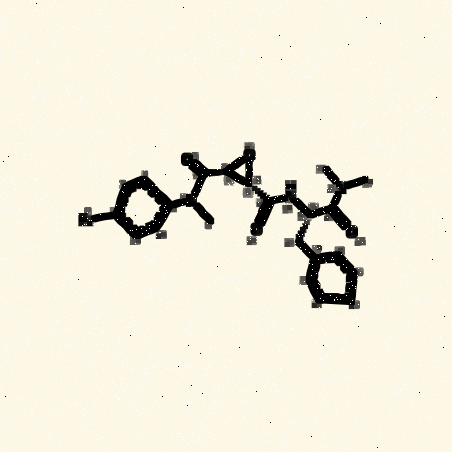 CCc1ccc(N(C)C(=O)[C@H]2O[C@@H]2C(=O)N[C@@H](Cc2ccccc2)C(=O)N(C)C)cc1